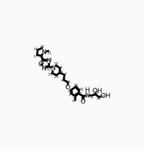 Cc1cc(OCCCC2CCN(c3noc(C4CCCN4C)n3)CC2)ccc1C(=O)NCC(O)CO